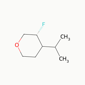 CC(C)C1CCOC[C@@H]1F